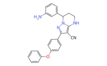 N#Cc1c(-c2ccc(Oc3ccccc3)cc2)nn2c1NCCC2c1cccc(N)c1